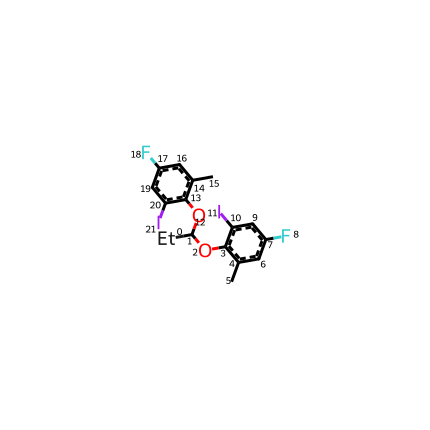 CCC(Oc1c(C)cc(F)cc1I)Oc1c(C)cc(F)cc1I